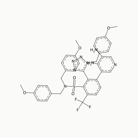 COc1ccc(CN(Cc2ccc(OC)cc2)S(=O)(=O)c2c(C(F)(F)F)ccc(-c3cncc(N)c3N)c2-c2nnnn2Cc2ccc(OC)cc2)cc1